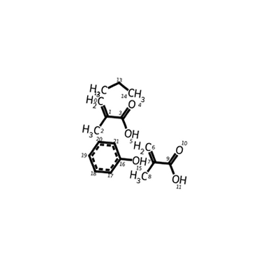 C=C(C)C(=O)O.C=C(C)C(=O)O.CCC.Oc1ccccc1